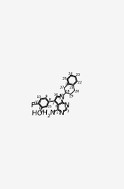 Nc1ncnc2c1c(-c1ccc(F)c(O)c1)cn2C1CCc2ccccc2C1